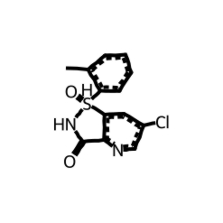 Cc1ccccc1[SH]1(=O)NC(=O)c2ncc(Cl)cc21